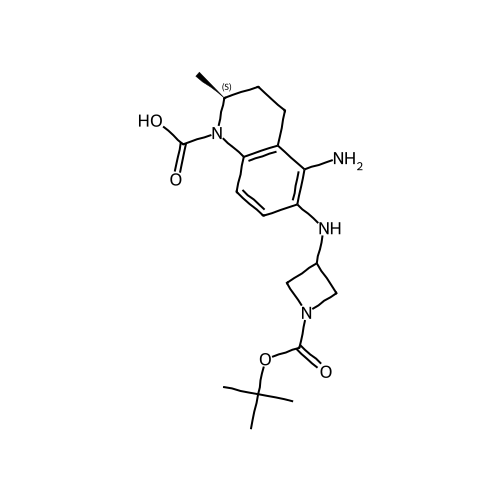 C[C@H]1CCc2c(ccc(NC3CN(C(=O)OC(C)(C)C)C3)c2N)N1C(=O)O